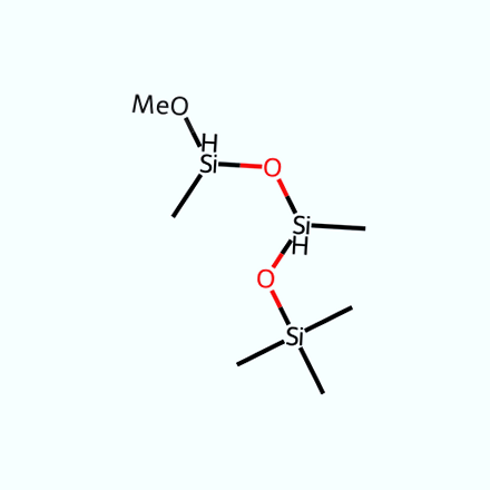 CO[SiH](C)O[SiH](C)O[Si](C)(C)C